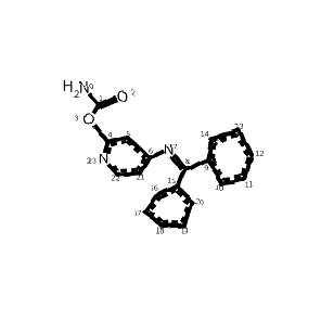 NC(=O)Oc1cc(N=C(c2ccccc2)c2ccccc2)ccn1